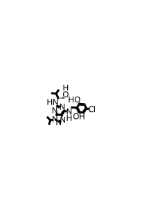 CC(C)[C@H](CO)Nc1nc(NCc2c(O)cc(Cl)cc2O)c2nnn(C(C)C)c2n1